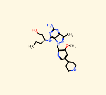 CCC[C@@H](CCO)Nc1nc(N)nc2c(C)nn(Cc3ncc(C4CCNCC4)cc3OC)c12